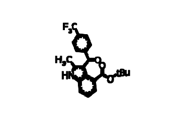 Cc1[nH]c2cccc(C(=O)OC(C)(C)C)c2c1C(=O)c1ccc(C(F)(F)F)cc1